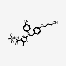 Cc1sc(N(Cc2ccc(OCCCO)cc2)c2ccc(C#N)cc2)nc1C(=O)NS(C)(=O)=O